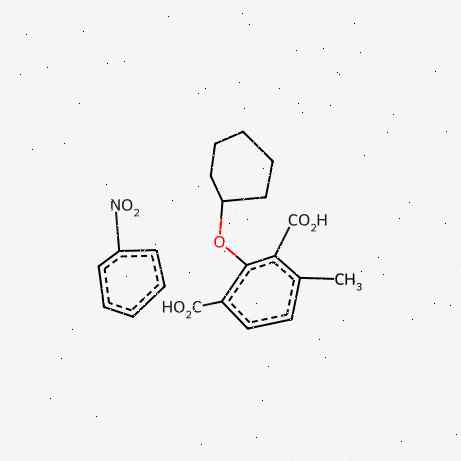 Cc1ccc(C(=O)O)c(OC2CCCCC2)c1C(=O)O.O=[N+]([O-])c1ccccc1